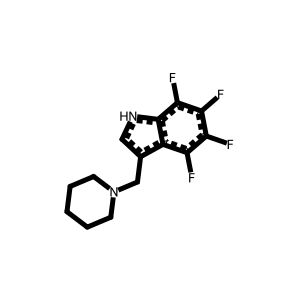 Fc1c(F)c(F)c2c(CN3CCCCC3)c[nH]c2c1F